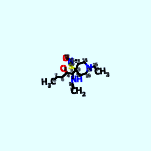 C=CNC(C(=O)CCC)C1(SN=O)CCN(CC)CC1